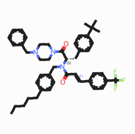 CCCCCc1ccc(CN(C(=O)/C=C/c2ccc(C(F)(F)F)cc2)[C@@H](Cc2ccc(C(C)(C)C)cc2)C(=O)N2CCN(Cc3ccccc3)CC2)cc1